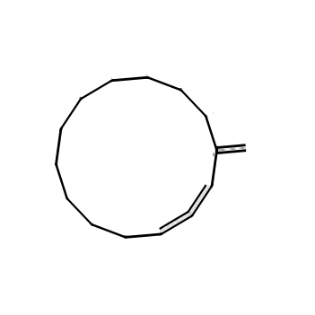 O=C1C=C=CCCCCCCCCCC1